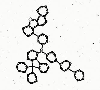 c1ccc(-c2ccc(-c3ccc(N(c4cccc(-c5cccc6oc7c8ccccc8ccc7c56)c4)c4cccc5c4-c4ccccc4C5(c4ccccc4)c4ccccc4)cc3)cc2)cc1